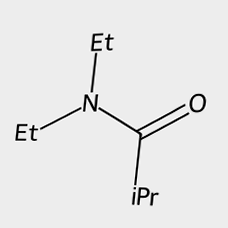 [CH2]CN(CC)C(=O)C(C)C